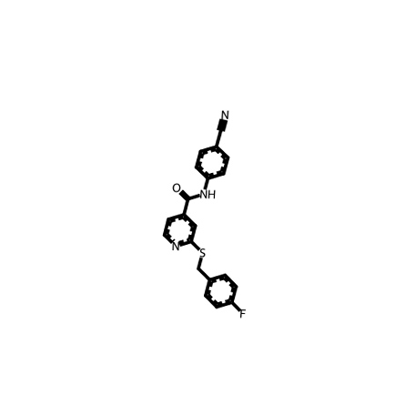 N#Cc1ccc(NC(=O)c2ccnc(SCc3ccc(F)cc3)c2)cc1